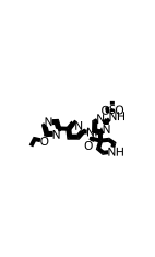 CCOc1cncc(-c2ccc(NC(=O)C3(c4ccnc(NS(C)(=O)=O)n4)CCNCC3)nc2)n1